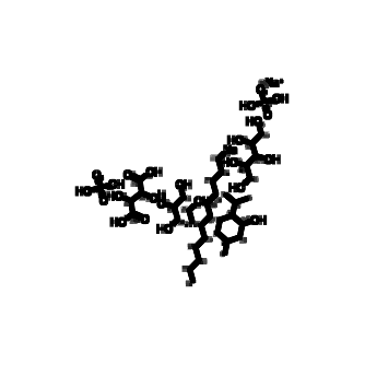 CC1CCC(C(C)C)C(O)C1.CCCCCCCCCCC[CH2][Na].CCO.O=C(O)C(O)C(O)C(=O)O.O=P([O-])(O)O.O=S(=O)(O)O.OCC(O)C(O)C(O)CO.OCC(O)CO.[Na+]